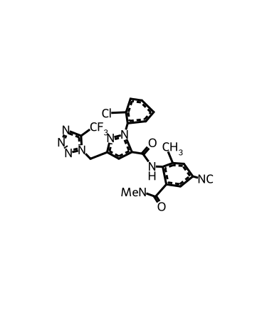 [C-]#[N+]c1cc(C)c(NC(=O)c2cc(Cn3nnnc3C(F)(F)F)nn2-c2ccccc2Cl)c(C(=O)NC)c1